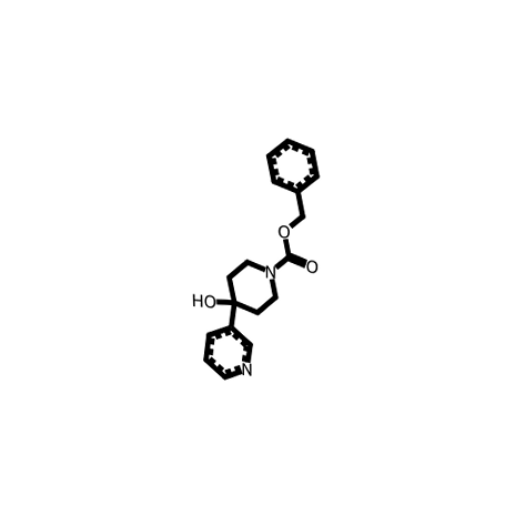 O=C(OCc1ccccc1)N1CCC(O)(c2cccnc2)CC1